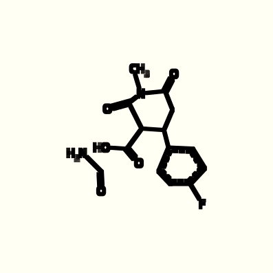 CN1C(=O)CC(c2ccc(F)cc2)C(C(=O)O)C1=O.NC=O